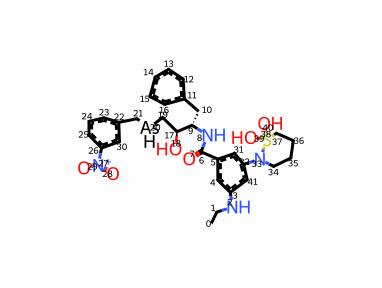 CCNc1cc(C(=O)N[C@@H](Cc2ccccc2)[C@@H](O)C[AsH]Cc2cccc([N+](=O)[O-])c2)cc(N2CCCCS2(O)O)c1